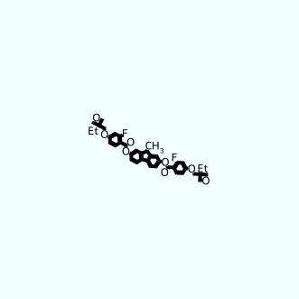 CCC1(COc2ccc(C(=O)Oc3ccc4c(c3)C(C)c3cc(OC(=O)c5ccc(OCC6(CC)COC6)cc5F)ccc3-4)c(F)c2)COC1